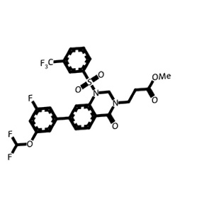 COC(=O)CCN1CN(S(=O)(=O)c2cccc(C(F)(F)F)c2)c2cc(-c3cc(F)cc(OC(F)F)c3)ccc2C1=O